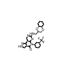 O=c1c2c[nH]nc2c2cnc(NCC3COc4ccccc4O3)nc2n1-c1cccc(C(F)(F)F)c1